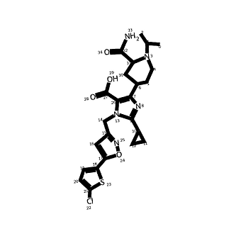 CC(C)N1CCC(c2nc(C3CC3)n(Cc3cc(-c4ccc(Cl)s4)on3)c2C(=O)O)CC1C(N)=O